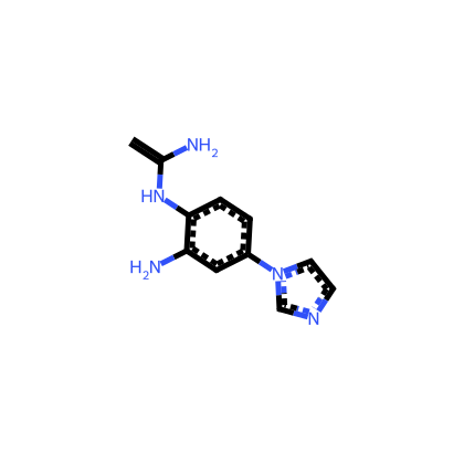 C=C(N)Nc1ccc(-n2ccnc2)cc1N